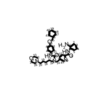 Nc1ccccc1NC(=O)c1ccc(CN(CCCCCN2CCOCC2)C(=O)Nc2ccc(OCc3ccccc3)cc2)cn1